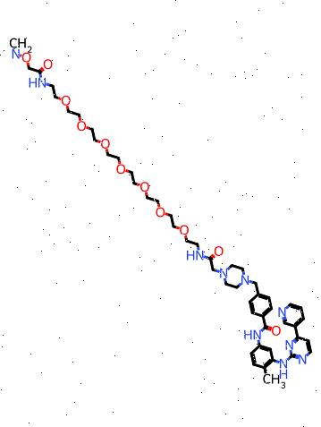 C=NOCC(=O)NCCOCCOCCOCCOCCOCCOCCOCCNC(=O)CN1CCN(Cc2ccc(C(=O)Nc3ccc(C)c(Nc4nccc(-c5cccnc5)n4)c3)cc2)CC1